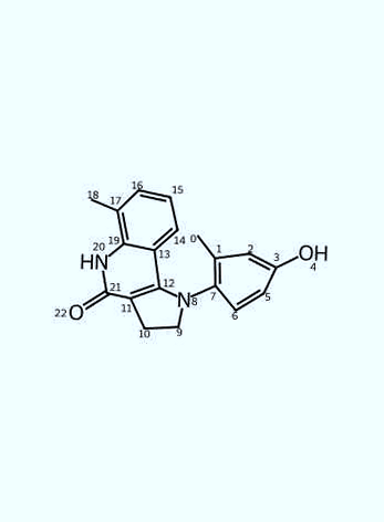 Cc1cc(O)ccc1N1CCc2c1c1cccc(C)c1[nH]c2=O